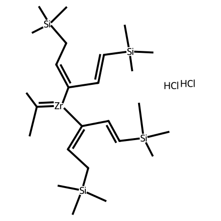 C[C](C)=[Zr]([C](C=C[Si](C)(C)C)=CC[Si](C)(C)C)[C](C=C[Si](C)(C)C)=CC[Si](C)(C)C.Cl.Cl